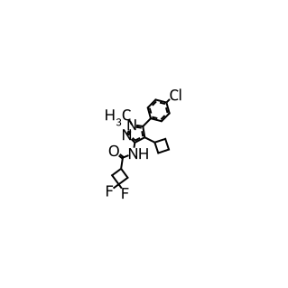 Cn1nc(NC(=O)C2CC(F)(F)C2)c(C2CCC2)c1-c1ccc(Cl)cc1